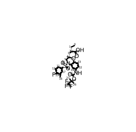 CC[C@@H](C[C@H]1CN(S(=O)(=O)c2ccc(F)c(C)c2)c2cc(NC(=O)OC(C)(C)C(F)(F)F)ccc2O1)C(=O)O